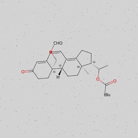 CC(OC(=O)C(C)(C)C)[C@H]1CCC2=C3C=CC4=CC(=O)CC[C@]4(COC=O)[C@H]3CC[C@@]21C